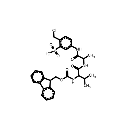 CC(NC(=O)C(NC(=O)OCC1c2ccccc2-c2ccccc21)C(C)C)C(=O)Nc1ccc(CCl)c(S(=O)(=O)O)c1